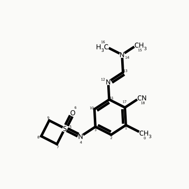 Cc1cc(N=S2(=O)CCC2)cc(N=CN(C)C)c1C#N